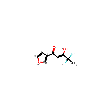 O=C(/C=C(\O)C(F)(F)C(F)(F)F)c1ccoc1